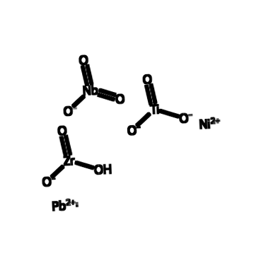 [Ni+2].[O]=[Nb](=[O])[O-].[O]=[Ti]([O-])[O-].[O]=[Zr]([O-])[OH].[Pb+2]